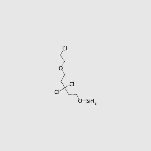 [SiH3]OCCC(Cl)(Cl)CCOCCCl